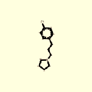 Fc1ccc(CCCN2CCCC2)cc1